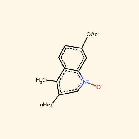 CCCCCCc1c[n+]([O-])c2cc(OC(C)=O)ccc2c1C